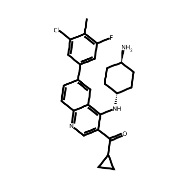 Cc1c(F)cc(-c2ccc3ncc(C(=O)C4CC4)c(N[C@H]4CC[C@H](N)CC4)c3c2)cc1Cl